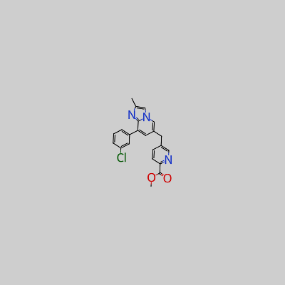 COC(=O)c1ccc(Cc2cc(-c3cccc(Cl)c3)c3nc(C)cn3c2)cn1